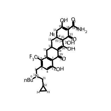 CCCCN(Cc1cc(O)c2c(c1C(F)(F)F)CC1C[C@H]3CC(O)=C(C(N)=O)C(=O)[C@@]3(O)C(O)=C1C2=O)CC1CC1